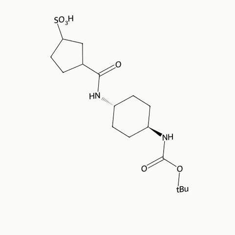 CC(C)(C)OC(=O)N[C@H]1CC[C@H](NC(=O)C2CCC(S(=O)(=O)O)C2)CC1